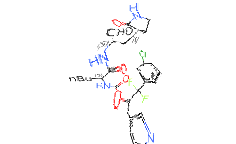 CCCC[C@H](NC(=O)OC(c1cccnc1)C(F)(F)c1cccc(Cl)c1)C(=O)N[C@H](C=O)C[C@@H]1CCNC1=O